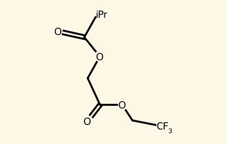 CC(C)C(=O)OCC(=O)OCC(F)(F)F